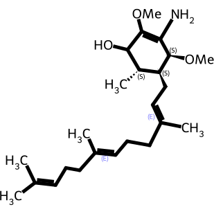 COC1=C(N)[C@@H](OC)[C@@H](C/C=C(\C)CC/C=C(\C)CCC=C(C)C)[C@H](C)C1O